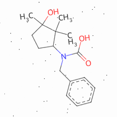 CC1(O)CCC(N(Cc2ccccc2)C(=O)O)C1(C)C